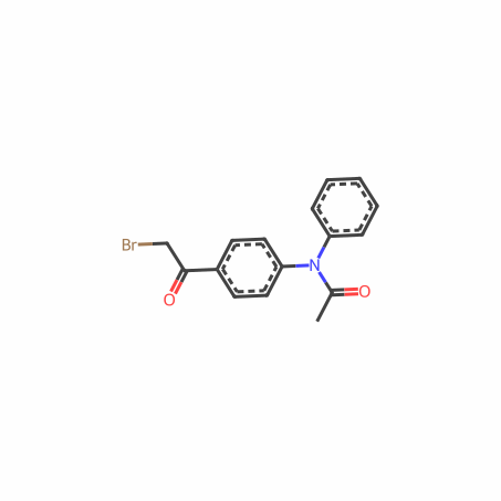 CC(=O)N(c1ccccc1)c1ccc(C(=O)CBr)cc1